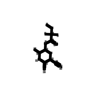 CCC(C)(C)C(=O)OC1CC(C#N)C(=O)OC1C